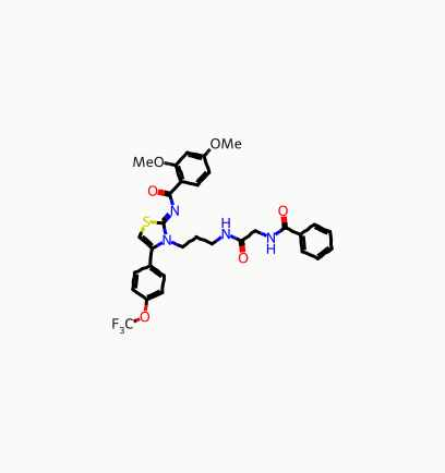 COc1ccc(C(=O)/N=c2\scc(-c3ccc(OC(F)(F)F)cc3)n2CCCNC(=O)CNC(=O)c2ccccc2)c(OC)c1